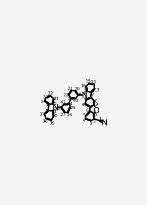 N#Cc1cccc2c1oc1cc3c4ccccc4n(-c4cccc(-c5cccc(-n6c7ccccc7c7ccccc76)c5)c4)c3cc12